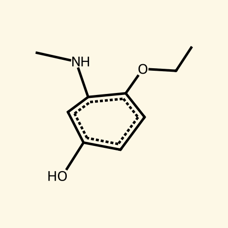 CCOc1ccc(O)cc1NC